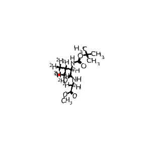 [2H]C([2H])(NC(=O)[C@]([2H])(NC(=O)OC(C)(C)C)C([2H])(C([2H])([2H])[2H])C([2H])([2H])[2H])C(=O)OC